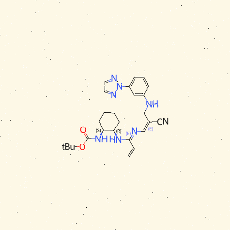 C=C/C(=N\C=C(\C#N)CNc1cccc(-n2nccn2)c1)N[C@@H]1CCCC[C@@H]1NC(=O)OC(C)(C)C